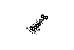 C[C@H]1c2ccc(NC(=O)OCC3c4ccccc4-c4ccccc43)c(O)c2C(=O)C2=C(O)[C@@]3(O)C(=O)C(C(N)=O)=C(O)[C@@H](N)C3[C@@H](O)C21